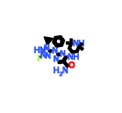 CC1(C)CC(Nc2nc(N(C3=NN(F)NN3C3CC3)c3ccccc3)ncc2C(N)=O)CC(C)(C)N1